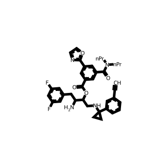 C#Cc1cccc(C2(NCC(OC(=O)c3cc(C(=O)N(CCC)CCC)cc(-c4ncco4)c3)C(N)Cc3cc(F)cc(F)c3)CC2)c1